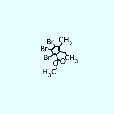 CCOC(=O)c1c(Br)c(Br)c(Br)c(CC)c1CC